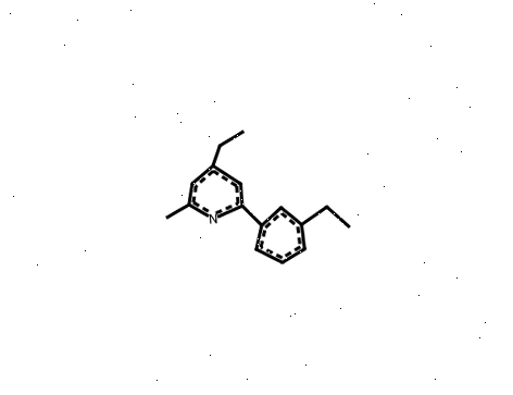 CCc1cccc(-c2cc(CC)cc(C)n2)c1